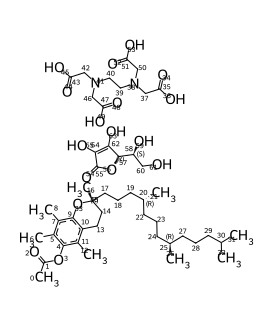 CC(=O)Oc1c(C)c(C)c2c(c1C)CC[C@@](C)(CCC[C@H](C)CCC[C@H](C)CCCC(C)C)O2.O=C(O)CN(CCN(CC(=O)O)CC(=O)O)CC(=O)O.O=C1O[C@H]([C@@H](O)CO)C(O)=C1O